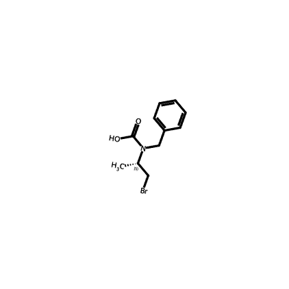 C[C@@H](CBr)N(Cc1ccccc1)C(=O)O